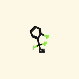 N#CC(F)(F)c1ccccc1F